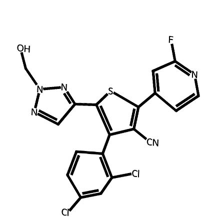 N#Cc1c(-c2ccnc(F)c2)sc(-c2cnn(CO)n2)c1-c1ccc(Cl)cc1Cl